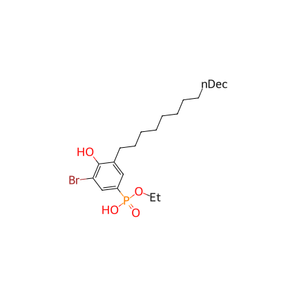 CCCCCCCCCCCCCCCCCCc1cc(P(=O)(O)OCC)cc(Br)c1O